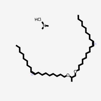 CCCCCCCC/C=C\CCCCCCCCOCC(C)OCCCCCCCC/C=C\CCCCCCCC.CN(C)C.Cl